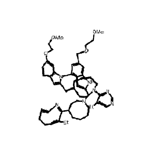 CCC1=C/CC/C=C/N=C\1C1CCCCN(Cc2cc3c(-n4c(CC5CCCCN(c6ncncc6CC)CC5)cc5ccc(OCCOC)cc54)cc(COCCOC)cc3[nH]2)CC1